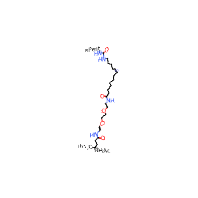 CCCCCNC(=O)NCCCC/C=C\CCCCCCC(=O)NCCOCCOCCNC(=O)CC[C@H](NC(C)=O)C(=O)O